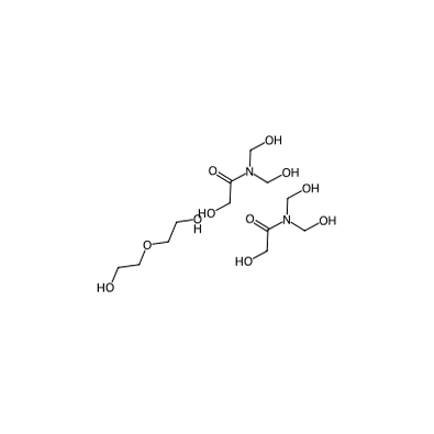 O=C(CO)N(CO)CO.O=C(CO)N(CO)CO.OCCOCCO